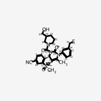 CC1=C(C#N)[C@@H](c2ccc(C#N)cc2S(C)(=O)=O)N(C(=O)N2CCCC(CO)C2)C(=O)N1c1cccc(CF)c1